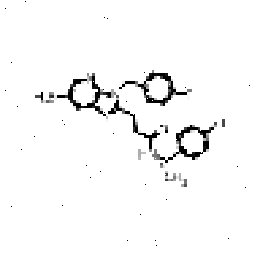 Bc1cnc2c(c1)nc(CCC(=O)N[C@@H](C)c1ccc(Cl)cc1)n2Cc1ccc(F)cc1